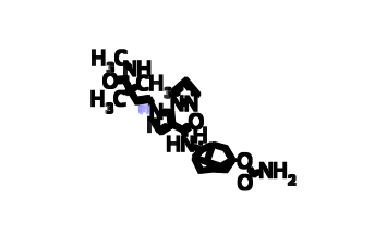 CNC(=O)C(C)(C)/C=C/n1ncc(C(=O)N[C@H]2C3CC4CC2C[C@](OC(N)=O)(C4)C3)c1-n1cccn1